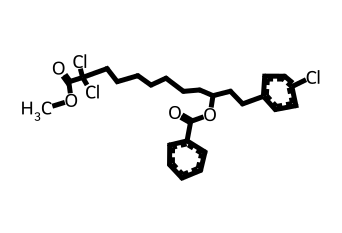 COC(=O)C(Cl)(Cl)CCCCCCCC(CCc1ccc(Cl)cc1)OC(=O)c1ccccc1